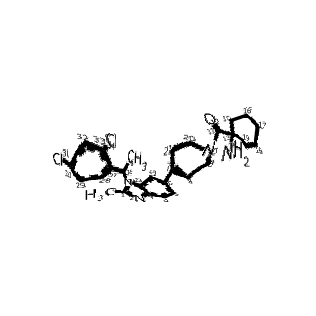 Cc1nc2ccc(C3=CCN(C(=O)C4(N)CCCCC4)CC3)cc2n1C(C)c1ccc(Cl)cc1Cl